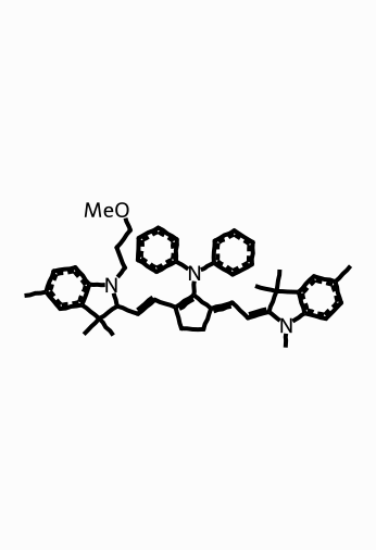 COCCCN1c2ccc(C)cc2C(C)(C)C1/C=C/C1=C(N(c2ccccc2)c2ccccc2)C(=C/C=C2/N(C)c3ccc(C)cc3C2(C)C)/CC1